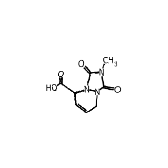 Cn1c(=O)n2n(c1=O)C(C(=O)O)C=CC2